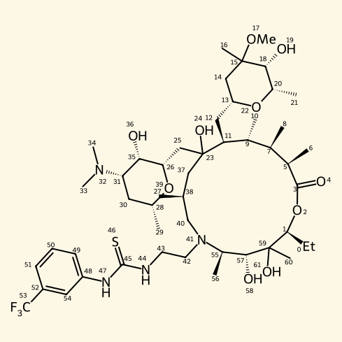 CC[C@@H]1OC(=O)[C@H](C)[C@H](C)[C@@H](C)[C@H](C[C@@H]2CC(C)(OC)[C@H](O)[C@H](C)O2)C(O)(C[C@@H]2O[C@H](C)C[C@H](N(C)C)[C@@H]2O)C[C@H](C)CN(CCNC(=S)Nc2cccc(C(F)(F)F)c2)[C@H](C)[C@@H](O)C1(C)O